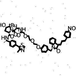 Cc1ncsc1-c1ccc([C@H](C)NC(=O)[C@@H]2C[C@@H](O)CN2C(=O)[C@@H](NC(=O)COCCOCCOc2ccc(CN3C(=O)/C(=C/C=C/c4ccc([N+](=O)[O-])cc4)c4ccccc43)cc2)C(C)(C)C)cc1